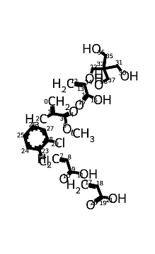 C=C(C)C(=O)OC.C=CC(=O)O.C=CC(=O)O.C=CC(=O)O.Clc1ccccc1Cl.OCC(CO)(CO)CO